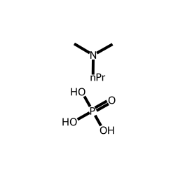 CCCN(C)C.O=P(O)(O)O